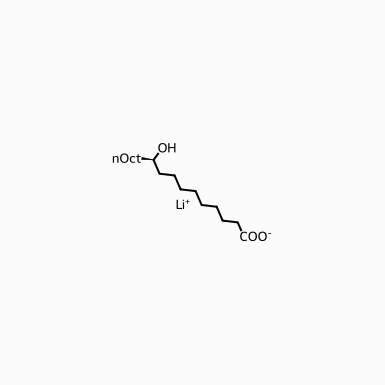 CCCCCCCC[C@@H](O)CCCCCCCCC(=O)[O-].[Li+]